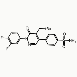 CC(C)(C)Cc1c(-c2ccc(S(N)(=O)=O)cc2)cnn(-c2ccc(F)c(F)c2)c1=O